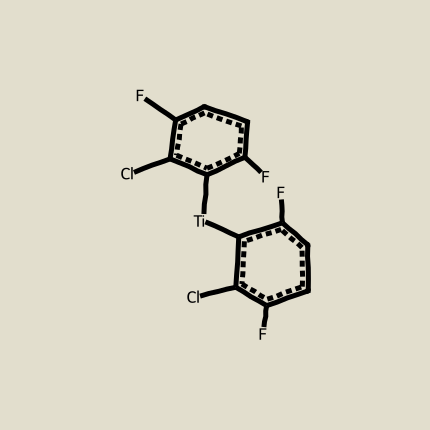 Fc1ccc(F)[c]([Ti][c]2c(F)ccc(F)c2Cl)c1Cl